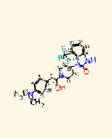 CN(C)c1ccc(CC(O)N2CCC(n3c(=O)[nH]c4cccc(C(F)(F)F)c43)CC2)cc1